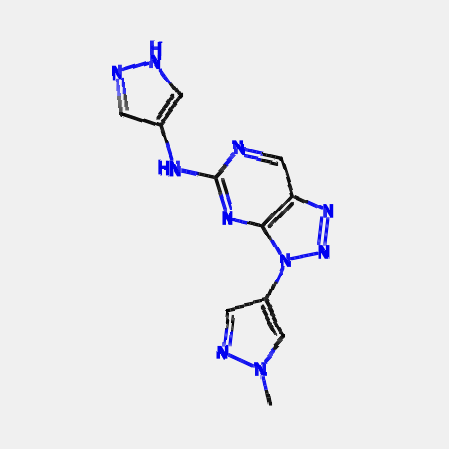 Cn1cc(-n2nnc3cnc(Nc4cn[nH]c4)nc32)cn1